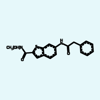 CN(O)C(=O)c1cc2ccc(NC(=O)Cc3ccccc3)cc2s1